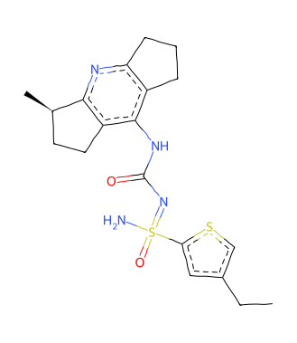 CCc1csc(S(N)(=O)=NC(=O)Nc2c3c(nc4c2CC[C@H]4C)CCC3)c1